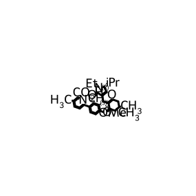 CCN1C(=O)C2=C(OC3=C(C(=O)CC(C)(C)C3)[C@@H]2c2c(OC)ccc(-c3ccc(C)c(C(=O)O)n3)c2C)[C@H]1C(C)C